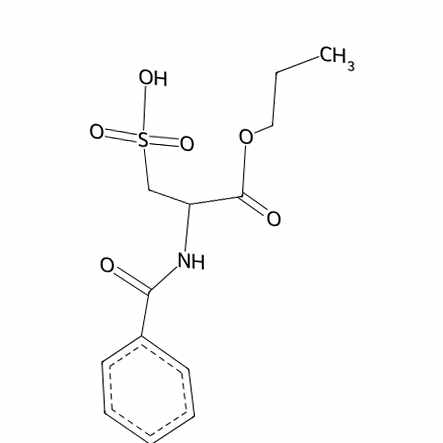 CCCOC(=O)C(CS(=O)(=O)O)NC(=O)c1ccccc1